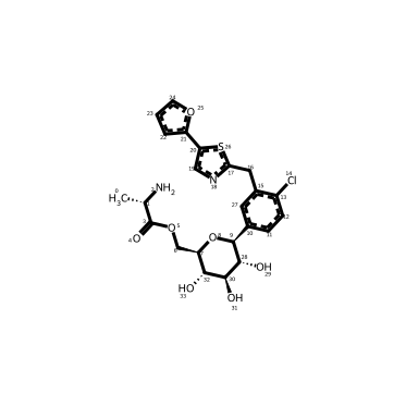 C[C@H](N)C(=O)OC[C@H]1O[C@@H](c2ccc(Cl)c(Cc3ncc(-c4ccco4)s3)c2)[C@H](O)[C@@H](O)[C@@H]1O